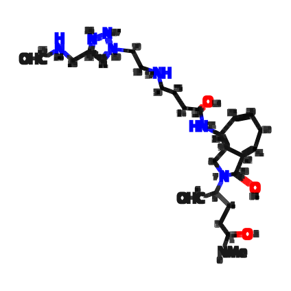 CNC(=O)CCC(C=O)N1CC2=C(NC(=O)CCCNCCn3cc(CNC=O)nn3)C=CCC=C2C1=O